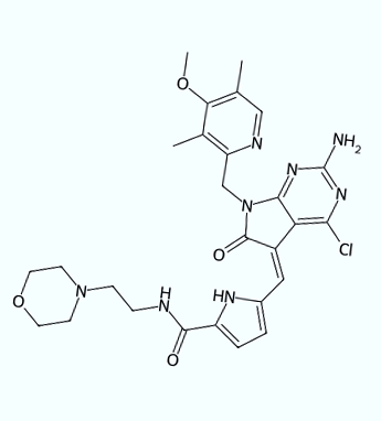 COc1c(C)cnc(CN2C(=O)C(=Cc3ccc(C(=O)NCCN4CCOCC4)[nH]3)c3c(Cl)nc(N)nc32)c1C